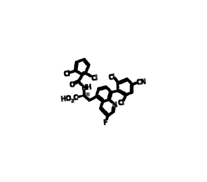 N#Cc1cc(Cl)c(-c2ccc(C[C@H](NC(=O)c3c(Cl)cccc3Cl)C(=O)O)c3cc(F)cnc23)c(Cl)c1